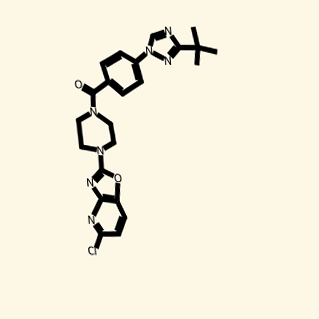 CC(C)(C)c1ncn(-c2ccc(C(=O)N3CCN(c4nc5nc(Cl)ccc5o4)CC3)cc2)n1